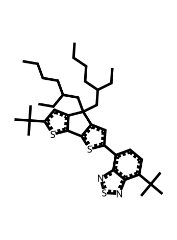 CCCCC(CC)CC1(CC(CC)CCCC)c2cc(-c3ccc(C(C)(C)C)c4nsnc34)sc2-c2sc(C(C)(C)C)cc21